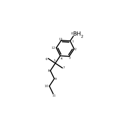 Bc1ccc(C(C)(C)CCCC)cc1